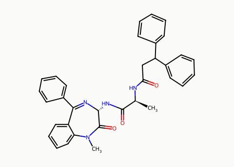 C[C@H](NC(=O)CC(c1ccccc1)c1ccccc1)C(=O)N[C@H]1N=C(c2ccccc2)c2ccccc2N(C)C1=O